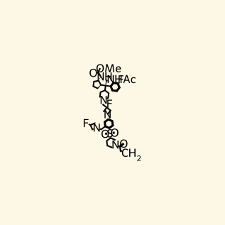 C=CC(=O)N1CCC[C@H](S(=O)(=O)c2ccc(N3CC(F)(CN4CCC([C@@](CNC(C)=O)(c5cccc(F)c5)[C@H]5CCC[C@@H]5NC(=O)OC)CC4)C3)cc2CN2CC(F)C2)C1